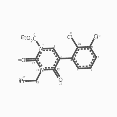 CCOC(=O)n1cc(-c2cccc(Cl)c2Cl)c(=O)n(CC(C)C)c1=O